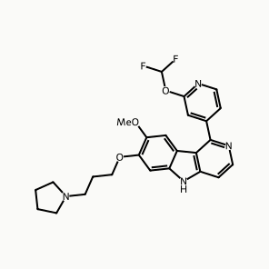 COc1cc2c(cc1OCCCN1CCCC1)[nH]c1ccnc(-c3ccnc(OC(F)F)c3)c12